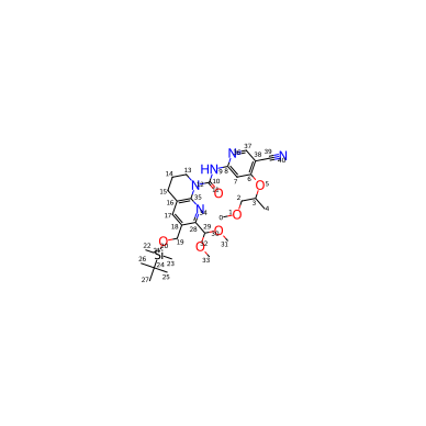 COCC(C)Oc1cc(NC(=O)N2CCCc3cc(CO[Si](C)(C)C(C)(C)C)c(C(OC)OC)nc32)ncc1C#N